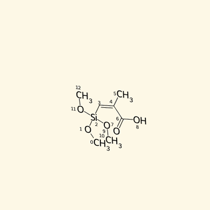 CO[Si](C=C(C)C(=O)O)(OC)OC